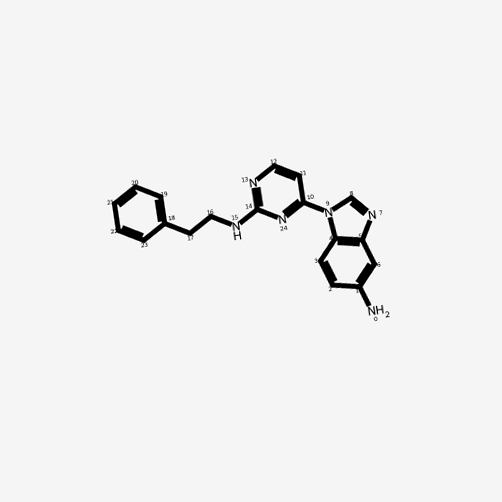 Nc1ccc2c(c1)ncn2-c1ccnc(NCCc2ccccc2)n1